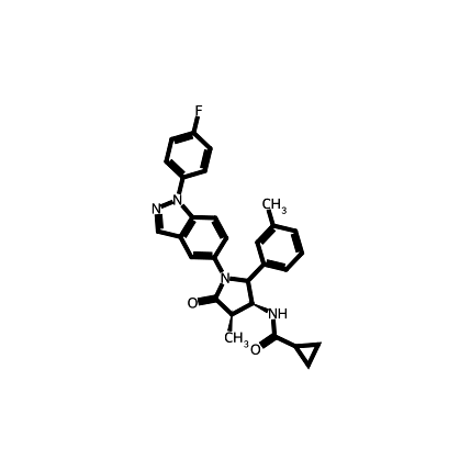 Cc1cccc(C2[C@@H](NC(=O)C3CC3)[C@@H](C)C(=O)N2c2ccc3c(cnn3-c3ccc(F)cc3)c2)c1